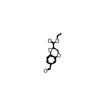 CCOC(=O)C1COc2cc(C=O)ccc2O1